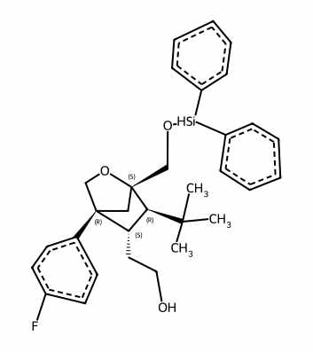 CC(C)(C)[C@H]1[C@H](CCO)[C@]2(c3ccc(F)cc3)CO[C@@]1(CO[SiH](c1ccccc1)c1ccccc1)C2